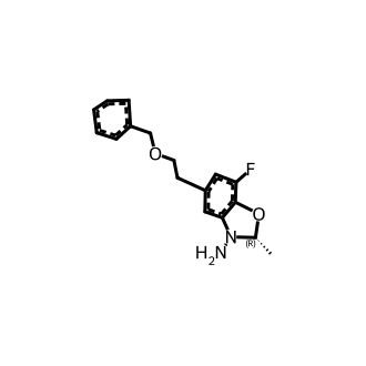 C[C@H]1Oc2c(F)cc(CCOCc3ccccc3)cc2N1N